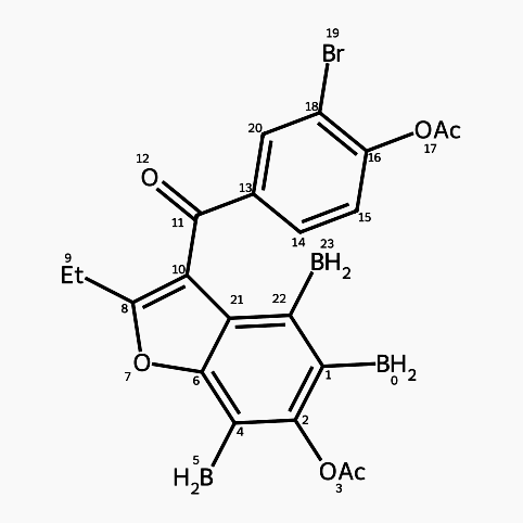 Bc1c(OC(C)=O)c(B)c2oc(CC)c(C(=O)c3ccc(OC(C)=O)c(Br)c3)c2c1B